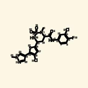 CN1C(C(=O)Nc2ccc(F)c(Cl)c2)CC(c2cc(Cl)c(-c3cnn(C)c3)s2)NS1(=O)=O